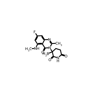 BC1(n2c(C)nc3cc(F)cc(NC)c3c2=O)CCC(=O)NC1=O